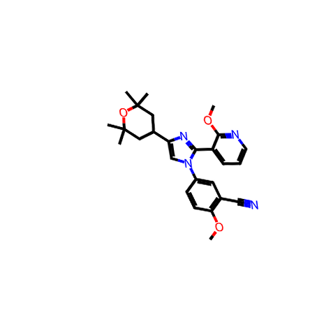 COc1ccc(-n2cc(C3CC(C)(C)OC(C)(C)C3)nc2-c2cccnc2OC)cc1C#N